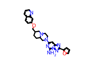 Nc1nc(N2CCN3CC(COc4ccc5cccnc5c4)CCC3C2)cc2nc(-c3ccco3)nn12